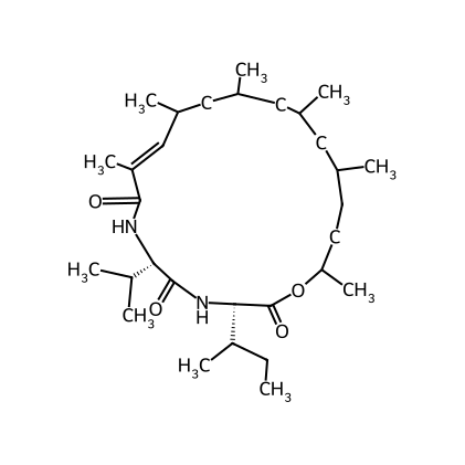 CCC(C)[C@@H]1NC(=O)[C@H](C(C)C)NC(=O)/C(C)=C/C(C)CC(C)CC(C)CC(C)CCC(C)OC1=O